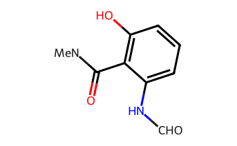 CNC(=O)c1c(O)cccc1NC=O